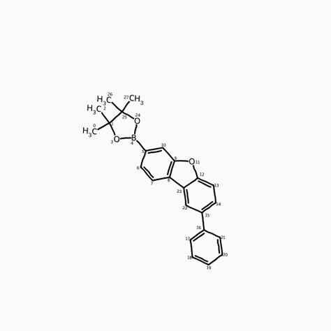 CC1(C)OB(c2ccc3c(c2)oc2ccc(-c4ccccc4)cc23)OC1(C)C